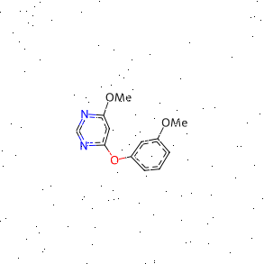 COc1cccc(Oc2cc(OC)ncn2)c1